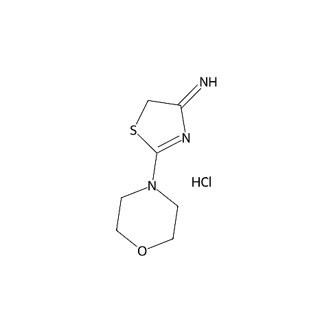 Cl.N=C1CSC(N2CCOCC2)=N1